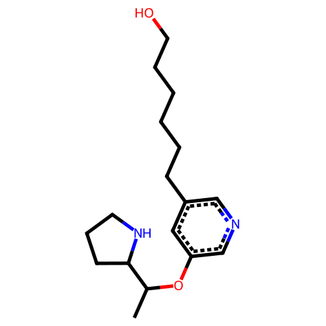 CC(Oc1cncc(CCCCCCO)c1)C1CCCN1